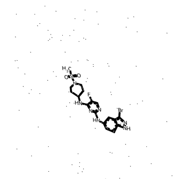 CS(=O)(=O)N1CCC(Nc2nc(Nc3ccc4[nH]nc(Br)c4c3)ncc2F)CC1